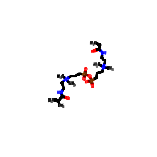 C=CC(=O)NCC[N+](C)(C)CCCS(=O)(=O)OS(=O)(=O)CCC[N+](C)(C)CCNC(=O)C(=C)C